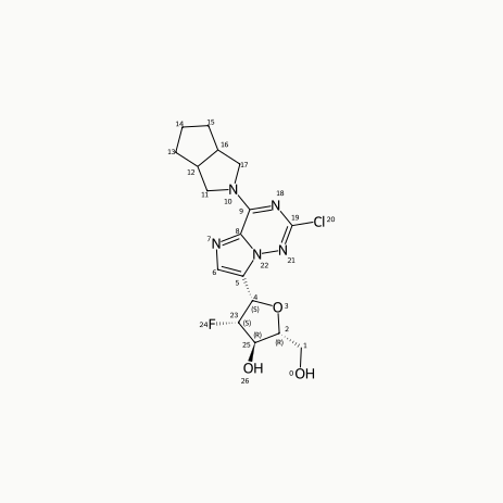 OC[C@H]1O[C@@H](c2cnc3c(N4CC5CCCC5C4)nc(Cl)nn23)[C@@H](F)[C@@H]1O